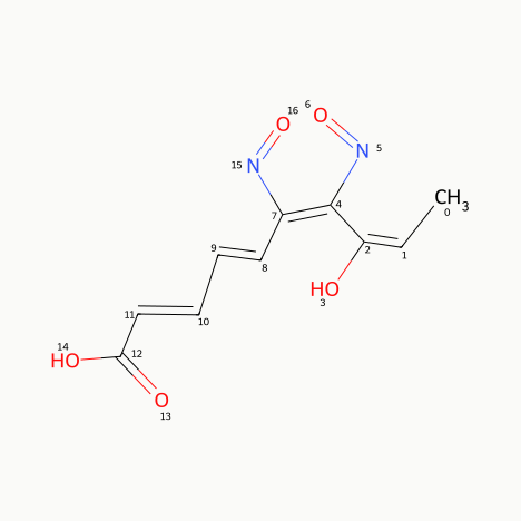 C\C=C(O)/C(N=O)=C(\C=C\C=C\C(=O)O)N=O